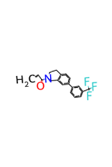 C=CC(=O)N1CCc2ccc(-c3cccc(C(F)(F)F)c3)cc2C1